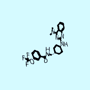 CN(C)c1nc(N[C@H]2CC[C@@H](CNC(=O)c3cccc(OC(F)(F)F)c3)CC2)nc2ccccc12